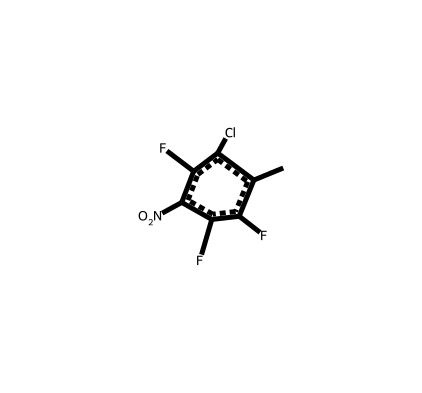 Cc1c(F)c(F)c([N+](=O)[O-])c(F)c1Cl